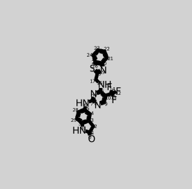 O=C1Cc2cc(Nc3ncc(C(F)(F)F)c(NCc4nc5ccccc5s4)n3)ccc2N1